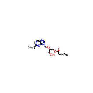 CCCCCCCCCCCC(=O)OCC(CO)OCn1cnc2cnc(NC)nc21